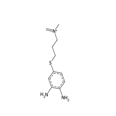 C=[N+](C)CCCSc1ccc(N)c(N)c1